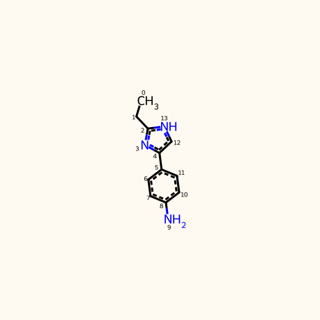 CCc1nc(-c2ccc(N)cc2)c[nH]1